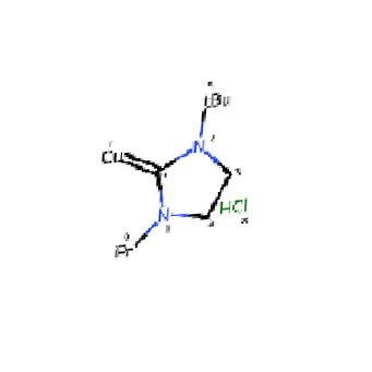 CC(C)N1CCN(C(C)(C)C)[C]1=[Cu].Cl